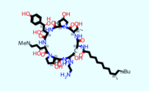 CC[C@H](C)C[C@H](C)CCCCCCCCC(=O)N[C@H]1C[C@@H](O)[C@@H](NCCN)NC(=O)[C@@H]2[C@@H](O)CCN2C(=O)[C@H]([C@H](O)CCNC)NC(=O)[C@H]([C@H](O)[C@@H](O)c2ccc(O)cc2)NC(=O)[C@@H]2C[C@@H](O)CN2C(=O)[C@H]([C@@H](C)O)NC1=O